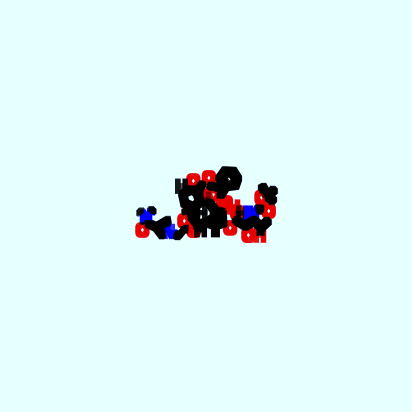 CC(=O)O[C@@]12CO[C@@H]1CC[C@@]1(C)[C@@H]3O[C@H](CN4CC(C(=O)N(C)C)C4)O[C@@H]3C3=C(C)[C@@H](OC(=O)[C@H](O)[C@@H](NC(=O)OC(C)(C)C)C(C)C)C[C@@](O)([C@@H](OC(=O)c4ccccc4)[C@@H]12)C3(C)C